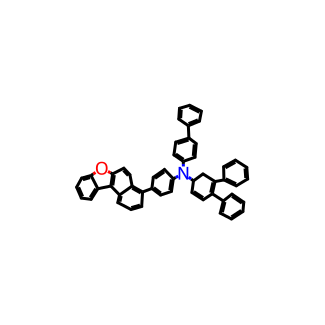 C1=CC(N(c2ccc(-c3ccccc3)cc2)c2ccc(-c3cccc4c3ccc3oc5ccccc5c34)cc2)CC(c2ccccc2)=C1c1ccccc1